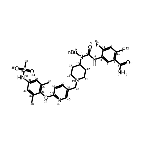 CCCCN(C(=O)Nc1cc(C(N)=O)c(F)cc1F)C1CCN(Cc2ccc(Oc3c(C)cc(NS(C)(=O)=O)cc3C)nc2)CC1